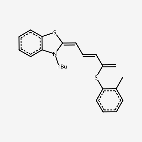 C=C(C=CC=C1Sc2ccccc2N1CCCC)Sc1ccccc1C